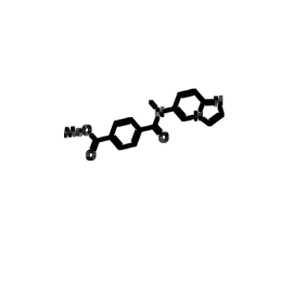 COC(=O)c1ccc(C(=O)N(C)c2ccc3nccn3c2)cc1